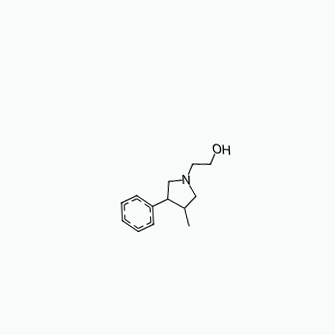 CC1CN(CCO)CC1c1ccccc1